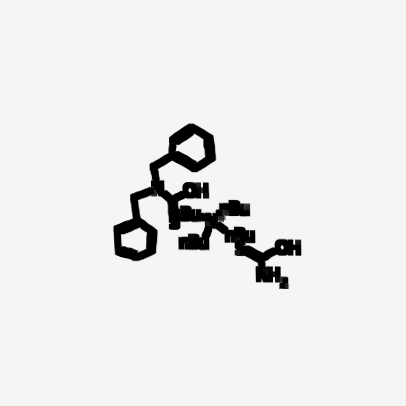 CCCC[N+](CCCC)(CCCC)CCCC.NC(O)=S.OC(=S)N(Cc1ccccc1)Cc1ccccc1